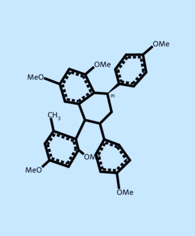 COc1ccc(C2C[C@H](c3ccc(OC)cc3)c3c(OC)cc(OC)cc3C2c2c(C)cc(OC)cc2OC)cc1